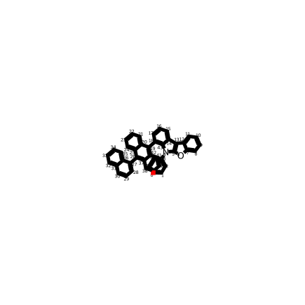 c1ccc(-n2c3oc4ccccc4c3c3cccc(-c4c5ccccc5c(-c5cccc6ccccc56)c5ccccc45)c32)cc1